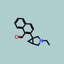 CCN1CC2CC2(c2ccc3ccccc3c2C=O)C1